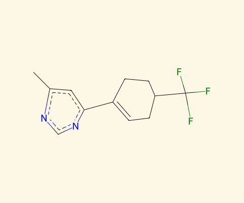 Cc1cc(C2=CCC(C(F)(F)F)CC2)ncn1